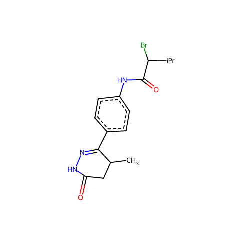 CC1CC(=O)NN=C1c1ccc(NC(=O)C(Br)C(C)C)cc1